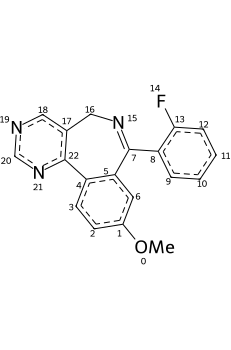 COc1ccc2c(c1)C(c1ccccc1F)=NCc1cncnc1-2